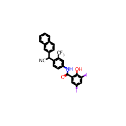 N#CC(c1ccc2ccccc2c1)c1ccc(NC(=O)c2cc(I)cc(I)c2O)cc1C(F)(F)F